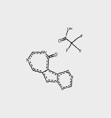 O=C(O)C(F)(F)F.O=c1[nH]cncc2nc3ncncc3c1-2